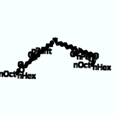 CCCCCCCCC(CCCCCC)COC(=O)CCCCCN(CCCCCCCCN(C)CCCCCCCCN(CCCCCC(=O)OCC(CCCCCC)CCCCCCCC)C(=O)CCCCC)C(=O)CCCCC